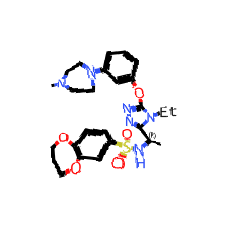 CCn1c(Oc2cccc(N3CCN(C)CC3)c2)nnc1[C@@H](C)NS(=O)(=O)c1ccc2c(c1)OCCCO2